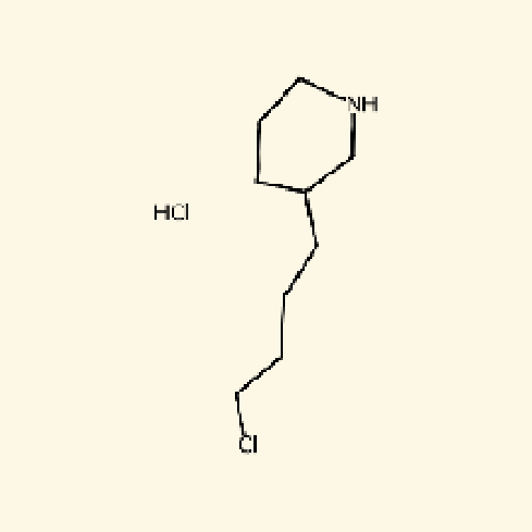 Cl.ClCCCCC1CCCNC1